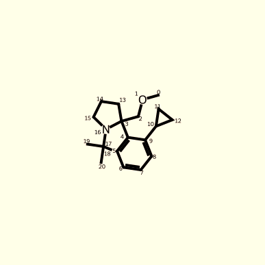 COCC1(c2ccccc2C2CC2)CCCN1C(C)(C)C